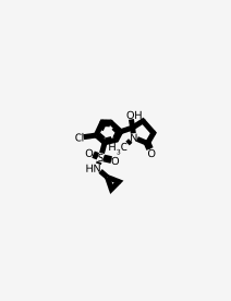 CN1C(=O)CCC1(O)c1ccc(Cl)c(S(=O)(=O)NC2CC2)c1